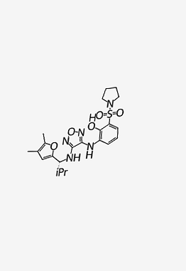 Cc1cc([C@H](Nc2nonc2Nc2cccc(S(=O)(=O)N3CCCC3)c2O)C(C)C)oc1C